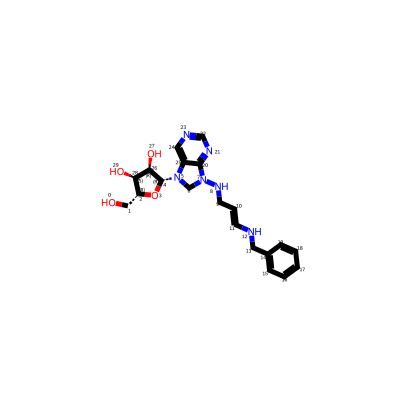 OC[C@H]1O[C@@H](N2CN(NCC=CNCc3ccccc3)c3ncncc32)[C@H](O)[C@@H]1O